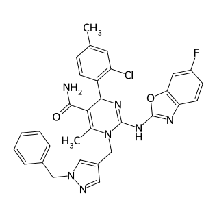 CC1=C(C(N)=O)C(c2ccc(C)cc2Cl)N=C(Nc2nc3ccc(F)cc3o2)N1Cc1cnn(Cc2ccccc2)c1